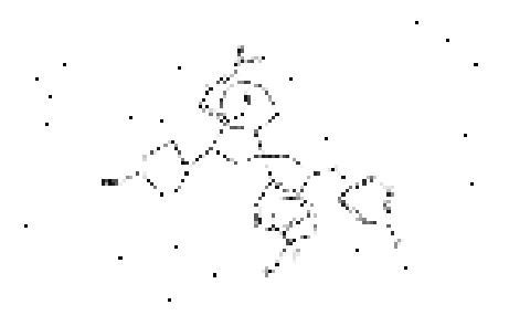 CCCCCC1CCC(C(CC(Cc2ccc(F)nc2)C2CCC(CCC)CC2)(CC(c2ccc(F)nc2)C2CCC(CCCC)CC2)c2ccc(F)nc2)CC1